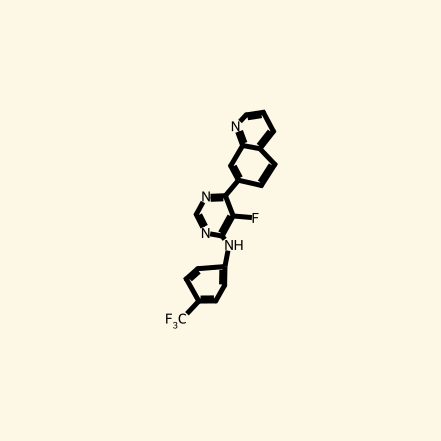 Fc1c(Nc2ccc(C(F)(F)F)cc2)ncnc1-c1ccc2cccnc2c1